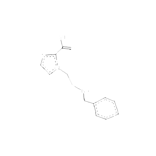 NC(=O)c1n[c]cn1CCNCc1ccccc1